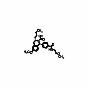 CCCC[C@H]1Cc2cc(OC)ccc2[C@H](c2ccc(C(=O)NCCOC)cc2)N1C(=O)O